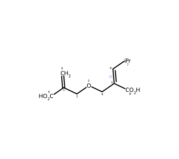 C=C(COC/C(=C/C(C)C)C(=O)O)C(=O)O